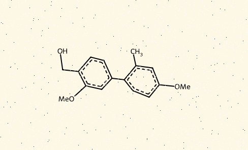 COc1ccc(-c2ccc(CO)c(OC)c2)c(C)c1